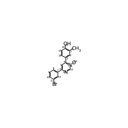 Cc1cc(-c2cc(-c3cccc(Br)c3)nc[n+]2[O-])ccc1O